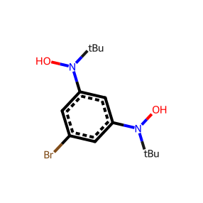 CC(C)(C)N(O)c1cc(Br)cc(N(O)C(C)(C)C)c1